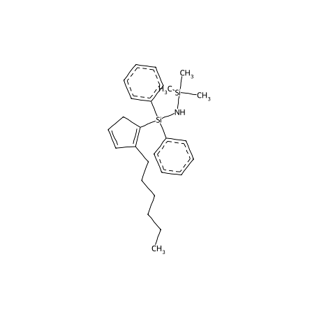 CCCCCCC1=C([Si](N[Si](C)(C)C)(c2ccccc2)c2ccccc2)CC=C1